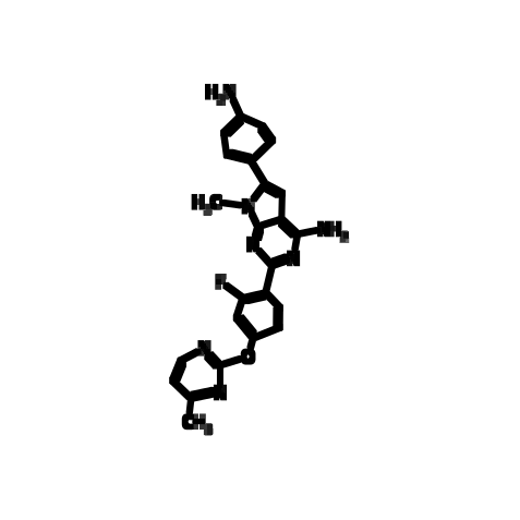 Cc1ccnc(Oc2ccc(-c3nc(N)c4cc(-c5ccc(N)cc5)n(C)c4n3)c(F)c2)n1